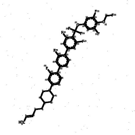 C/C=C/CCC1CCC(c2ccc(-c3ccc(-c4cc(F)c(C(F)(F)Oc5cc(F)c(OCF)c(F)c5)c(F)c4)c(F)c3)c(F)c2)CC1